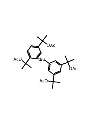 CC(=O)OC(C)(C)c1cc(C(C)(C)C)cc(C(C)(C)OC(C)=O)c1.CC(=O)OC(C)(C)c1ccc(C(C)(C)OC(C)=O)cc1